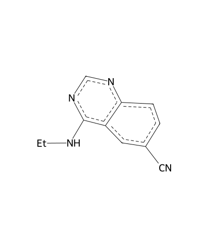 CCNc1ncnc2ccc(C#N)cc12